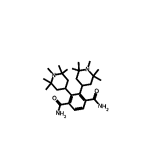 CN1C(C)(C)CC(c2c(C(N)=O)ccc(C(N)=O)c2C2CC(C)(C)N(C)C(C)(C)C2)CC1(C)C